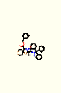 O=C(OCc1ccccc1)C1N2C(=O)C(NC(c3ccccc3)(c3ccccc3)c3ccccc3)[C@H]2SC12CCSCC2